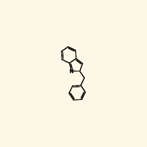 C1=c2ccccc2=NC1Cc1ccccc1